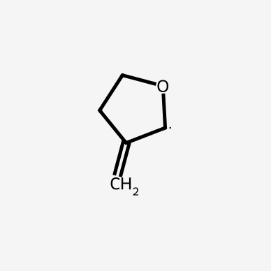 C=C1[CH]OCC1